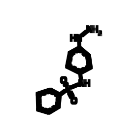 NNc1ccc(NS(=O)(=O)c2ccccc2)cc1